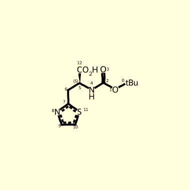 CC(C)(C)OC(=O)N[C@@H](Cc1nccs1)C(=O)O